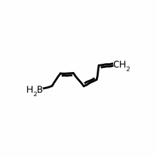 BC/C=C\C=C/C=C